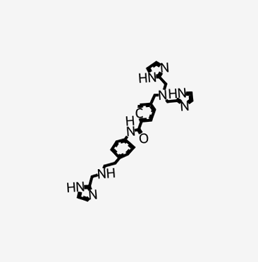 O=C(Nc1ccc(CCNCc2ncc[nH]2)cc1)c1ccc(CN(Cc2ncc[nH]2)Cc2ncc[nH]2)cc1